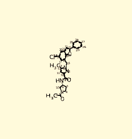 CC(=O)N1CC[C@@H](NC(=O)c2cc(C)n(Cc3cc(Cl)cc4cc(-c5ccccc5)oc34)n2)C1